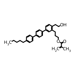 C=C(C)C(=O)OCCCc1cc(-c2ccc(-c3ccc(CCCCC)cc3)cc2)ccc1CCO